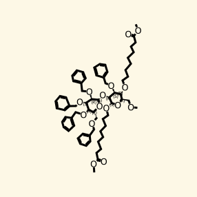 COC[C@H]1O[C@H](OCCCCCCCCC(=O)OC)[C@H](O[C@@H]2O[C@H](COCc3ccccc3)[C@@H](OCc3ccccc3)[C@H](OCc3ccccc3)[C@H]2OCc2ccccc2)[C@@H](OCc2ccccc2)[C@@H]1OCCCCCCCCC(=O)OC